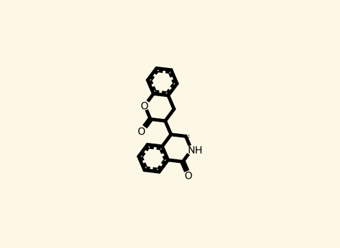 O=C1N[C]C(C2Cc3ccccc3OC2=O)c2ccccc21